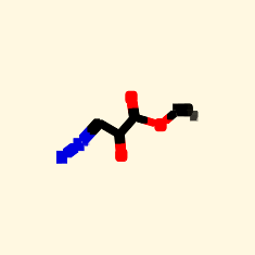 [N-]=[N+]=CC(=O)C(=O)O[N+](=O)[O-]